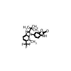 CN1C(C(F)(F)F)=CC=C2N=C(C(C)(C)C)N(c3ccc4[nH]c(=O)oc4c3)C21